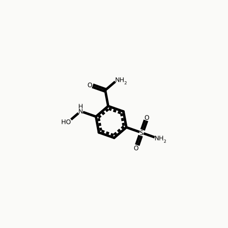 NC(=O)c1cc(S(N)(=O)=O)ccc1NO